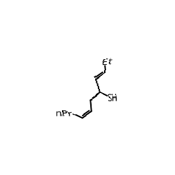 CCC=CC(S)C/C=C\CCC